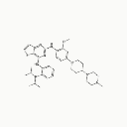 COc1cc(N2CCC(N3CCN(C)CC3)CC2)ccc1Nc1nc(Nc2ccccc2P(C(C)C)C(C)C)c2sccc2n1